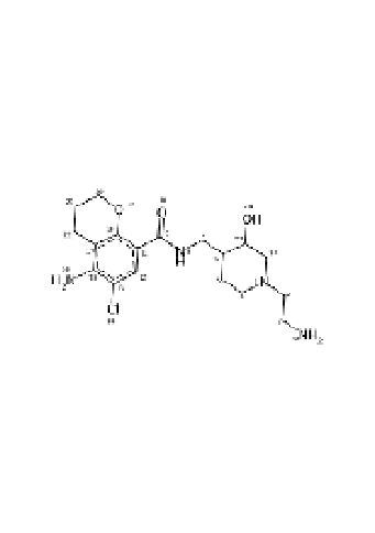 NCCN1CCC(CNC(=O)c2cc(Cl)c(N)c3c2OCCC3)C(O)C1